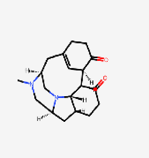 CN1C[C@@H]2C[C@H]3CCC(=O)[C@H]4[C@H]3N2C[C@@H]1CC1=C[C@H]4C(=O)CC1